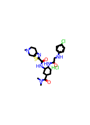 CN1CCc2nc(C(=O)NC3CC(C(=O)N(C)C)CCC3NC(=O)CNc3ccc(Cl)cc3)sc2C1.Cl